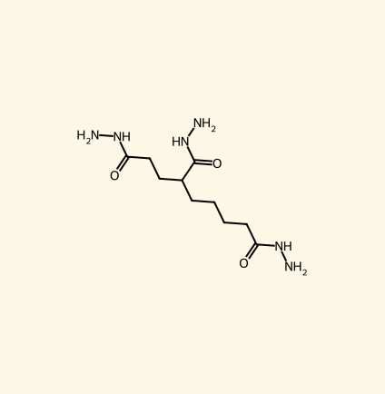 NNC(=O)CCCCC(CCC(=O)NN)C(=O)NN